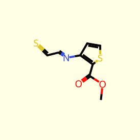 COC(=O)c1sccc1N=CC=S